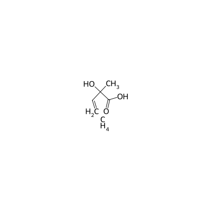 C.C=CC(C)(O)C(=O)O